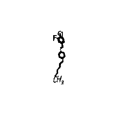 CCCCCCC[C@H]1CC[C@H](CCc2ccc(Cl)c(F)c2)CC1